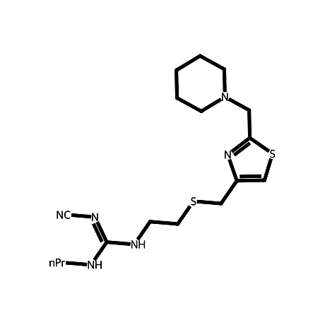 CCCNC(=NC#N)NCCSCc1csc(CN2CCCCC2)n1